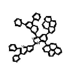 c1ccc(-c2cc(-c3ccccc3)c3ccc(-c4nc(-c5ccc6cc(-c7ccccc7)c(-c7ccccc7)nc6c5)nc5c(-c6ccc7ccc8cccc9ccc6c7c89)cc(-c6ccc7ccc8cccc9ccc6c7c89)cc45)cc3c2)cc1